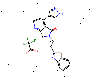 O=C(O)C(F)(F)F.O=C1c2c(-c3cn[nH]c3)ccnc2CN1CCc1nc2ccccc2s1